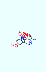 CCC1CC2CN3CCc4c(n(C(=O)OC)c5ccc(O)cc45)[C@](C(=O)O)(C2)C13